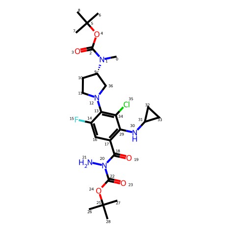 CN(C(=O)OC(C)(C)C)[C@H]1CCN(c2c(F)cc(C(=O)N(N)C(=O)OC(C)(C)C)c(NC3CC3)c2Cl)C1